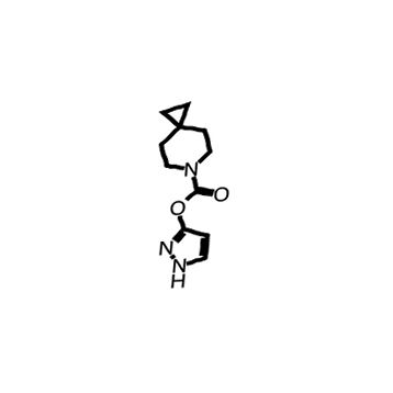 O=C(Oc1cc[nH]n1)N1CCC2(CC1)CC2